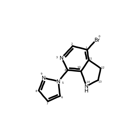 Brc1cnc(-n2cccn2)c2c1CCN2